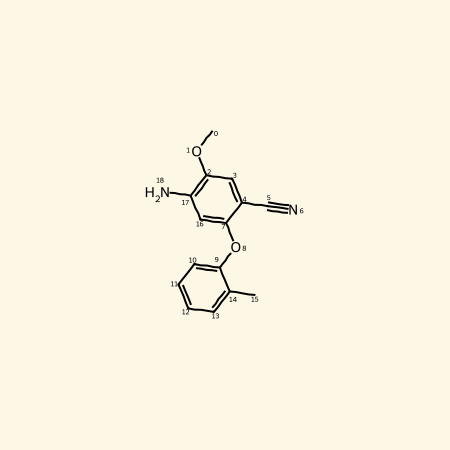 COc1cc(C#N)c(Oc2ccccc2C)cc1N